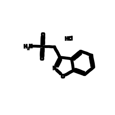 Cl.NS(=O)(=O)Cc1noc2ccccc12